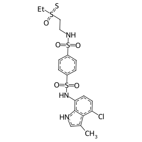 CCS(=O)(=S)CCNS(=O)(=O)c1ccc(S(=O)(=O)Nc2ccc(Cl)c3c(C)c[nH]c23)cc1